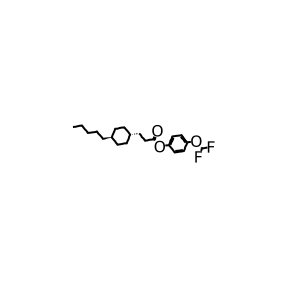 CCCCC[C@H]1CC[C@H](CCC(=O)Oc2ccc(OC(F)F)cc2)CC1